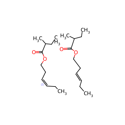 CC/C=C\CCOC(=O)C(C)CC.CCC=CCCOC(=O)C(C)CC